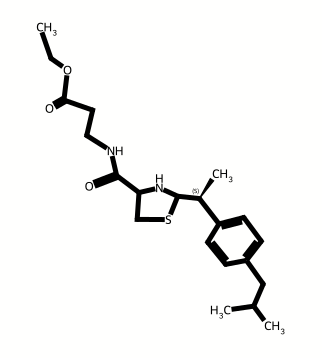 CCOC(=O)CCNC(=O)C1CSC([C@@H](C)c2ccc(CC(C)C)cc2)N1